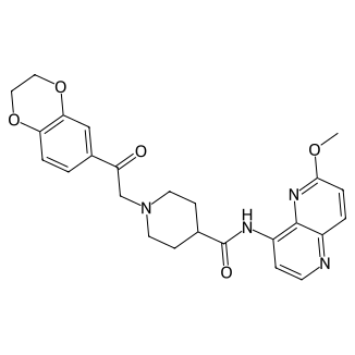 COc1ccc2nccc(NC(=O)C3CCN(CC(=O)c4ccc5c(c4)OCCO5)CC3)c2n1